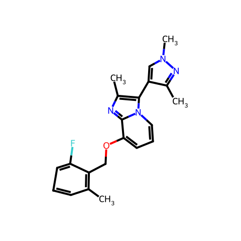 Cc1cccc(F)c1COc1cccn2c(-c3cn(C)nc3C)c(C)nc12